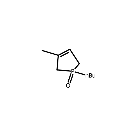 CCCCP1(=O)CC=C(C)C1